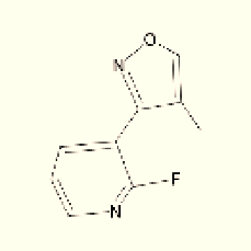 Cc1conc1-c1cccnc1F